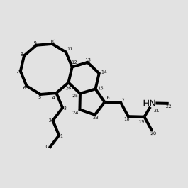 CCCCC1CCCCCCCC2CCC3C(CCC(C)NC)CCC3C12